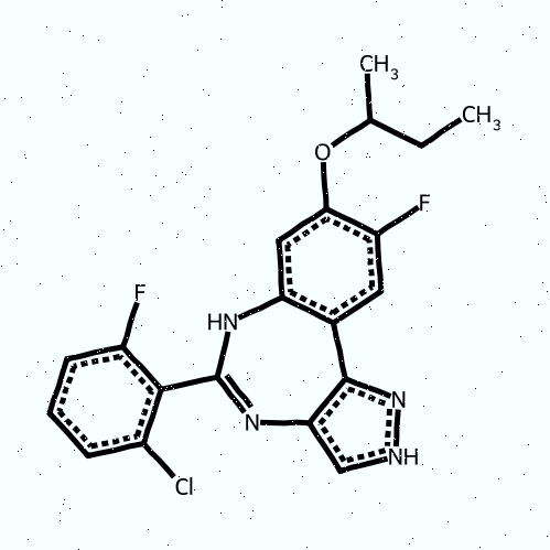 CCC(C)Oc1cc2c(cc1F)-c1n[nH]cc1N=C(c1c(F)cccc1Cl)N2